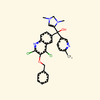 CN1C=C(C(O)(c2ccc(C(F)(F)F)nc2)c2ccc3nc(Cl)c(OCc4ccccc4)c(Cl)c3c2)N(C)C1